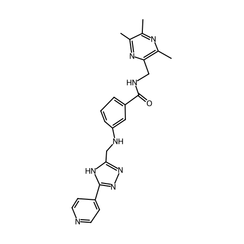 Cc1nc(C)c(CNC(=O)c2cccc(NCc3nnc(-c4ccncc4)[nH]3)c2)nc1C